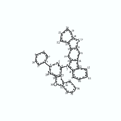 c1ccc(-c2nc(-n3c4ccccc4c4cc5sc6ccccc6c5cc43)c3c(n2)oc2ccccc23)cc1